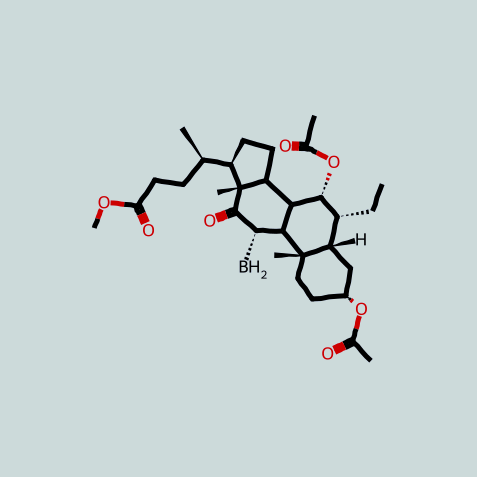 B[C@@H]1C(=O)[C@@]2(C)C(CC[C@@H]2[C@H](C)CCC(=O)OC)C2C1[C@@]1(C)CC[C@@H](OC(C)=O)C[C@H]1[C@@H](CC)[C@H]2OC(C)=O